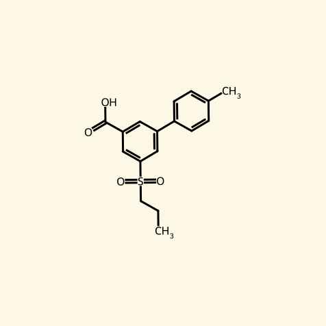 CCCS(=O)(=O)c1cc(C(=O)O)cc(-c2ccc(C)cc2)c1